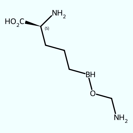 NCOBCCC[C@H](N)C(=O)O